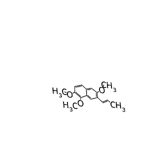 C/C=C/c1cc2c(OC)c(OC)ccc2cc1OC